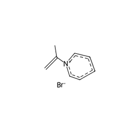 C=C(C)[n+]1ccccc1.[Br-]